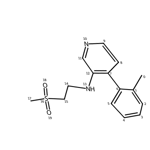 Cc1ccccc1-c1ccncc1NCCS(C)(=O)=O